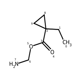 CCC1(C(=O)OCN)CC1